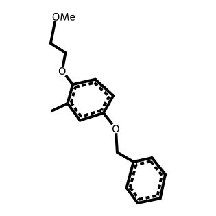 COCCOc1ccc(OCc2ccccc2)cc1C